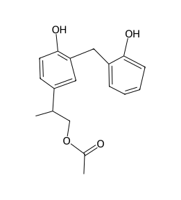 CC(=O)OCC(C)c1ccc(O)c(Cc2ccccc2O)c1